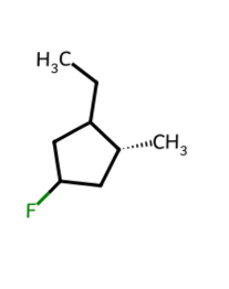 CCC1CC(F)C[C@H]1C